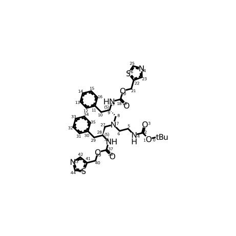 CC(C)(C)OC(=O)NCCN(C[C@H](Cc1ccccc1)NC(=O)OCc1cncs1)C[C@H](Cc1ccccc1)NC(=O)OCc1cncs1